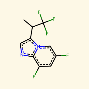 C[C](c1cnc2c(F)cc(F)cn12)C(F)(F)F